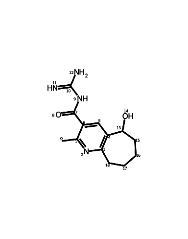 Cc1nc2c(cc1C(=O)NC(=N)N)C(O)CCCC2